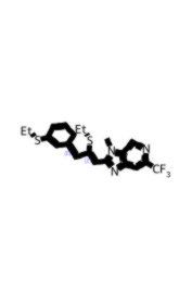 CCSC1=C/C(=C/C(=C/c2nc3cc(C(F)(F)F)ncc3n2C)SCC)CC=C1